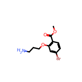 COC(=O)c1ccc(Br)cc1OCCCN